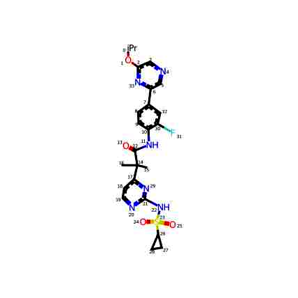 CC(C)Oc1cncc(-c2ccc(NC(=O)C(C)(C)c3ccnc(NS(=O)(=O)C4CC4)n3)c(F)c2)n1